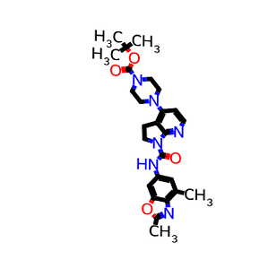 Cc1nc2c(C)cc(NC(=O)N3CCc4c(N5CCN(C(=O)OC(C)(C)C)CC5)ccnc43)cc2o1